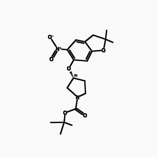 CC(C)(C)OC(=O)N1CC[C@@H](Oc2cc3c(cc2[N+](=O)[O-])CC(C)(C)O3)C1